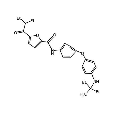 CCC(CC)C(=O)c1ccc(C(=O)Nc2ccc(Oc3ccc(NC(C)(CC)CC)cc3)cc2)o1